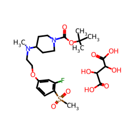 CN(CCOc1ccc(S(C)(=O)=O)c(F)c1)C1CCN(C(=O)OC(C)(C)C)CC1.O=C(O)C(O)C(O)C(=O)O